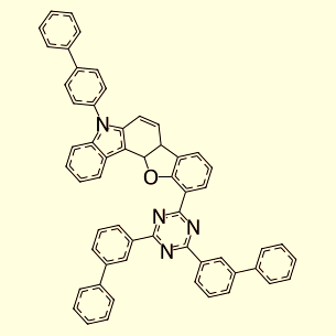 C1=CC2c3cccc(-c4nc(-c5cccc(-c6ccccc6)c5)nc(-c5cccc(-c6ccccc6)c5)n4)c3OC2c2c1n(-c1ccc(-c3ccccc3)cc1)c1ccccc21